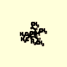 C=C[Si](CCC)(CCC)OC(C)(C)C